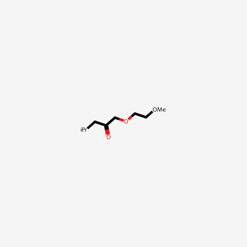 COCCOCC(=O)CC(C)C